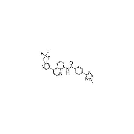 Cn1cnc(-c2ccc(C(=O)Nc3cccc4c(-c5cnn(CC(F)(F)F)c5)ccnc34)cc2)n1